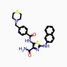 NC(=O)c1nc(Nc2ccc3ccccc3c2)sc1NC(=O)c1ccc(CN2CCSCC2)cc1